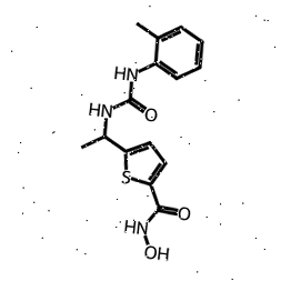 Cc1ccccc1NC(=O)NC(C)c1ccc(C(=O)NO)s1